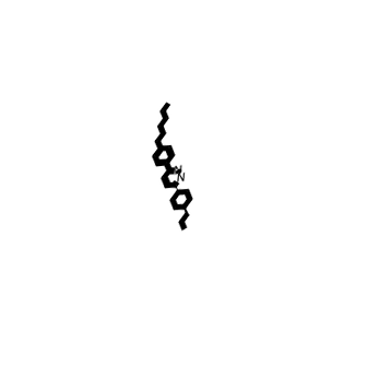 CCCCCCc1ccc(-c2ccc([C@H]3CC[C@H](CCC)CC3)nn2)cc1